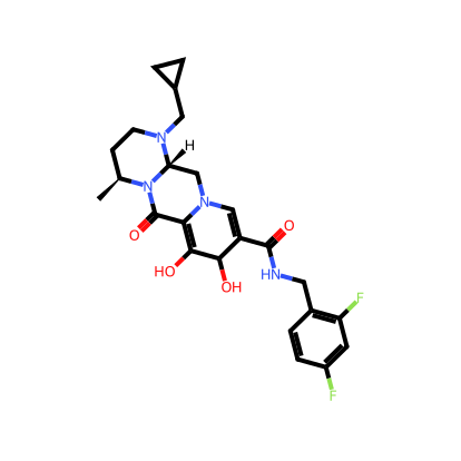 C[C@H]1CCN(CC2CC2)[C@@H]2CN3C=C(C(=O)NCc4ccc(F)cc4F)C(O)C(O)=C3C(=O)N12